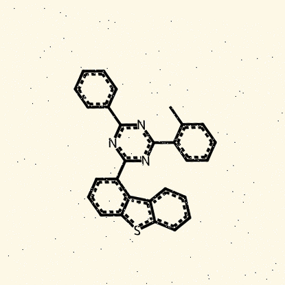 Cc1ccccc1-c1nc(-c2ccccc2)nc(-c2cccc3sc4ccccc4c23)n1